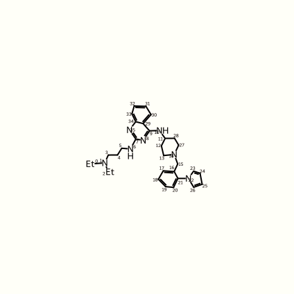 CCN(CC)CCCNc1nc(NC2CCN(Cc3ccccc3-n3cccc3)CC2)c2ccccc2n1